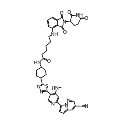 CNc1cc(-c2ccc3cc(C#N)cnn23)ncc1-c1nnc(C2CCC(NC(=O)CCCCCNc3cccc4c3C(=O)N(C3CCC(=O)NC3=O)C4=O)CC2)s1